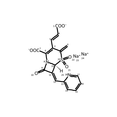 C=C1C(/C=C/C(=O)[O-])=C(C(=O)[O-])N2C(=O)/C(=C/c3ccccn3)[C@@H]2S1(=O)=O.[Na+].[Na+]